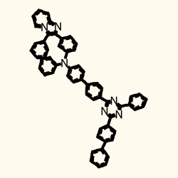 c1ccc(-c2ccc(-c3nc(-c4ccccc4)nc(-c4ccc(-c5ccc(N(c6ccccc6)c6cccc(-c7nc8ccccn8c7-c7ccccc7)c6)cc5)cc4)n3)cc2)cc1